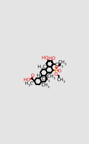 CCOP(=O)(OCC)C1C=C2[C@@](C)(CC[C@@]3(C)[C@@H]4C[C@](C)(C(=O)O)CC[C@]4(C)CC[C@]23C)c2cc(O)c(O)c(C)c21